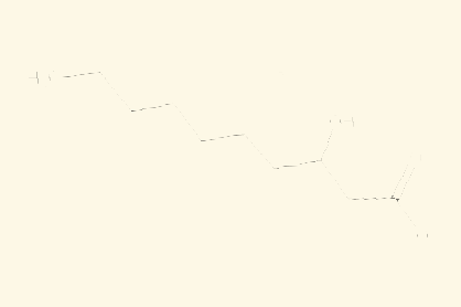 CCCCCCCC(O)CC(=O)[O-].[K+]